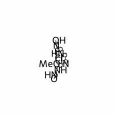 COc1cc(-c2nccc(-c3cccc(Nc4cccc(CN5CC(O)C5)c4F)c3Cl)c2Cl)ccc1CNCC1CCC(=O)N1